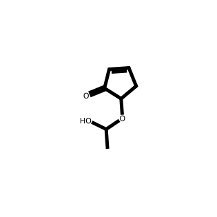 CC(O)OC1CC=CC1=O